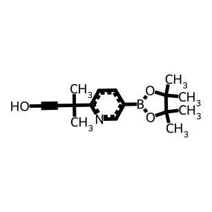 CC(C)(C#CO)c1ccc(B2OC(C)(C)C(C)(C)O2)cn1